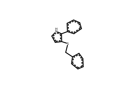 c1ccc(CSc2cc[nH]c2-c2ccccc2)cc1